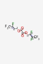 O=C(OC/C=C(\F)C(F)(F)F)C(=O)OC/C(F)=C(\F)C(F)(F)F